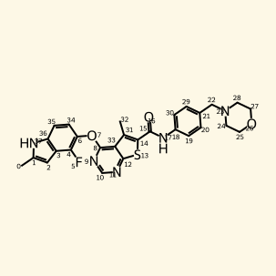 Cc1cc2c(F)c(Oc3ncnc4sc(C(=O)Nc5ccc(CN6CCOCC6)cc5)c(C)c34)ccc2[nH]1